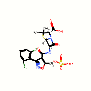 Cc1onc(-c2c(Cl)cccc2Cl)c1C(=O)N[C@@H]1C(=O)N2[C@@H]1SC(C)(C)[C@@H]2C(=O)O.O=S(=O)(O)O